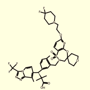 Cc1ccc([C@H](c2ccn3c(C(F)(F)F)nnc3c2C)C(C)(C)C(=O)O)cc1CN1CC2(CCOCC2)Oc2nc(OCCN3CCC(F)(F)CC3)ccc2S1(=O)=O